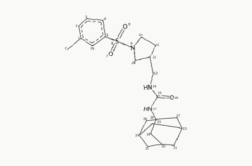 Cc1cccc(S(=O)(=O)N2CCC(CNC(=O)NC34CC5CC(CC(C5)C3)C4)C2)c1